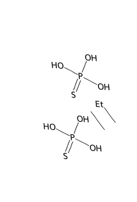 CC.CCC.OP(O)(O)=S.OP(O)(O)=S